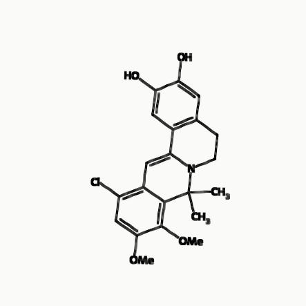 COc1cc(Cl)c2c(c1OC)C(C)(C)N1CCc3cc(O)c(O)cc3C1=C2